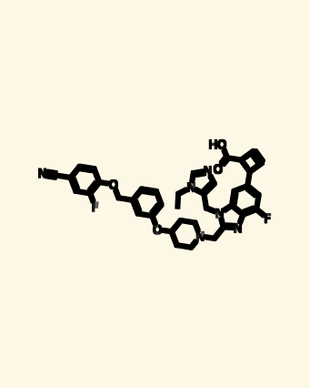 CCn1cncc1Cn1c(CN2CCC(Oc3cccc(COc4ccc(C#N)cc4F)c3)CC2)nc2c(F)cc(C3C#CC3C(=O)O)cc21